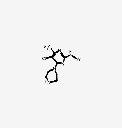 Cc1nc(NC(C)C)nc(N2CCNCC2)c1Cl